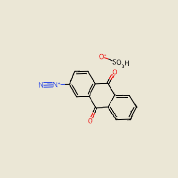 N#[N+]c1ccc2c(c1)C(=O)c1ccccc1C2=O.O=S(=O)([O-])O